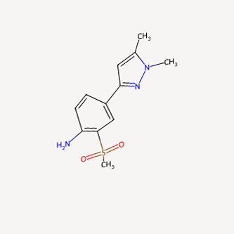 Cc1cc(-c2ccc(N)c(S(C)(=O)=O)c2)nn1C